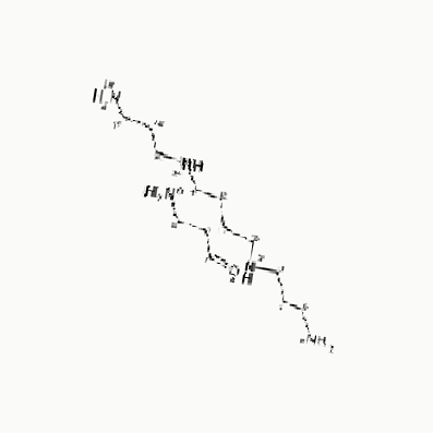 NCCC=O.NCCCNCCCCNCCCN